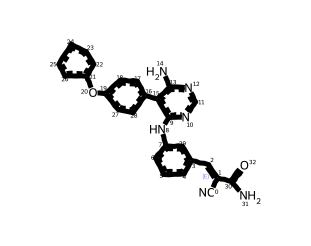 N#C/C(=C\c1cccc(Nc2ncnc(N)c2-c2ccc(Oc3ccccc3)cc2)c1)C(N)=O